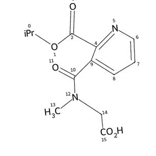 CC(C)OC(=O)c1ncccc1C(=O)N(C)CC(=O)O